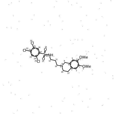 COc1cc2c(cc1OC)CN(CCCNS(=O)(=O)c1cc(Cl)c(Cl)cc1Cl)CC2